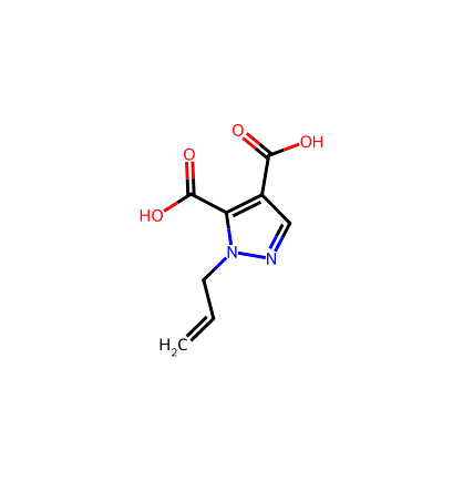 C=CCn1ncc(C(=O)O)c1C(=O)O